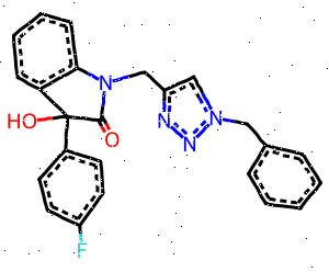 O=C1N(Cc2cn(Cc3ccccc3)nn2)c2ccccc2C1(O)c1ccc(F)cc1